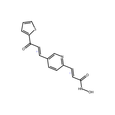 O=C(/C=C/c1ccc(/C=C/C(=O)c2cccs2)cn1)NO